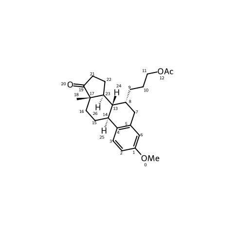 COc1ccc2c(c1)C[C@@H](CCCOC(C)=O)[C@@H]1[C@@H]2CC[C@]2(C)C(=O)CC[C@@H]12